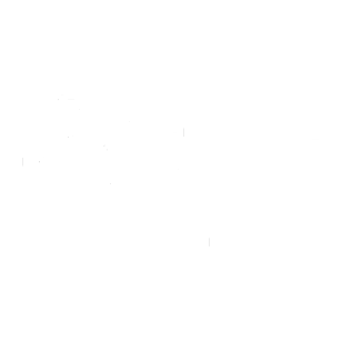 C=C(C)C(=O)OC(CO)C(O)CCCO